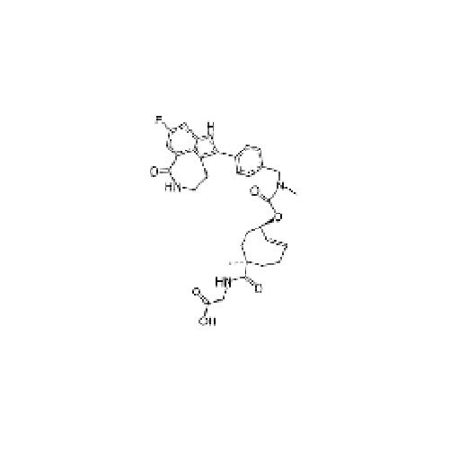 CN(Cc1ccc(-c2[nH]c3cc(F)cc4c3c2CCNC4=O)cc1)C(=O)O[C@H]1/C=C/CC[C@@](C)(C(=O)NCC(=O)O)CC1